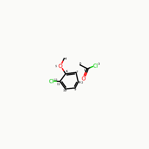 CC(=O)Cl.COc1ccccc1Cl